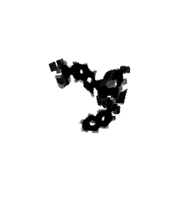 N=C(N)c1ccc(C[C@@H]([C]=O)NC(=O)[C@H](CC(=O)O)NS(=O)(=O)c2ccc3c(c2)CCCC3)cc1